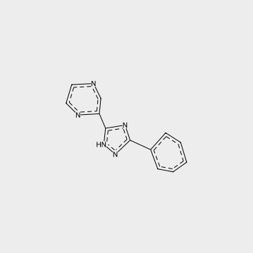 c1ccc(-c2n[nH]c(-c3cnccn3)n2)cc1